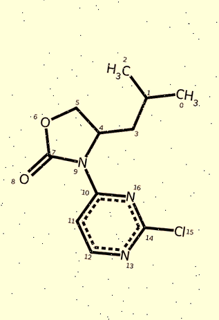 CC(C)CC1COC(=O)N1c1ccnc(Cl)n1